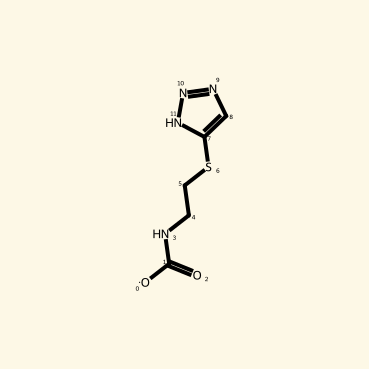 [O]C(=O)NCCSc1cnn[nH]1